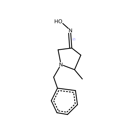 CC1C/C(=N/O)CN1Cc1ccccc1